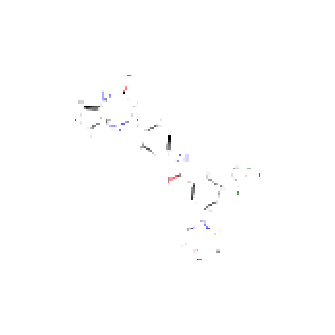 O=C1CC(c2ccc(NC(=O)c3cc(N4CCOCC4)cc(C(F)(F)F)c3)cc2)=Nc2cscc2N1